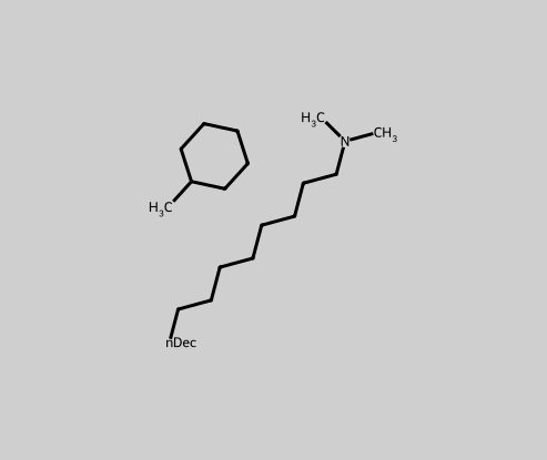 CC1CCCCC1.CCCCCCCCCCCCCCCCCCN(C)C